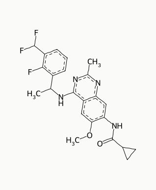 COc1cc2c(NC(C)c3cccc(C(F)F)c3F)nc(C)nc2cc1NC(=O)C1CC1